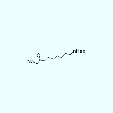 CCCCCCCCCCCCCC(=O)[CH2][Na]